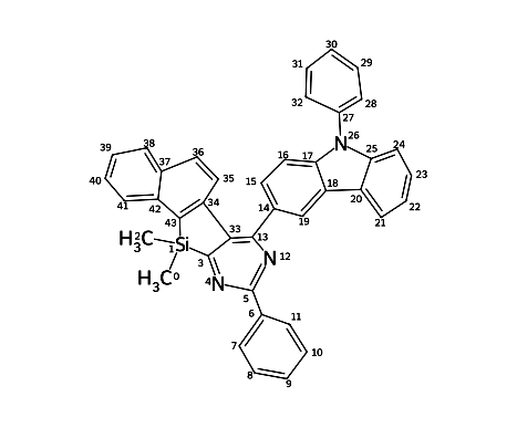 C[Si]1(C)c2nc(-c3ccccc3)nc(-c3ccc4c(c3)c3ccccc3n4-c3ccccc3)c2-c2ccc3ccccc3c21